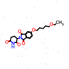 CCOCCCCCOc1ccc2c(c1)C(=O)N(C1CCC(=O)NC1=O)C2=O